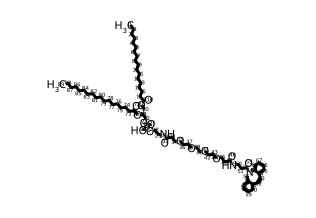 CCCCCCCCCCCCCCCCCC(=O)OC[C@H](COP(=O)(O)OCCNC(=O)CCOCCOCCOCCOCCC(=O)NCCC(=O)N1Cc2ccccc2C#Cc2ccccc21)OC(=O)CCCCCCCCCCCCCCCCC